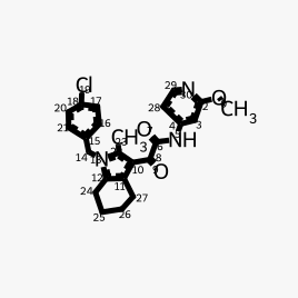 COc1cc(NC(=O)C(=O)c2c3c(n(Cc4ccc(Cl)cc4)c2C)CCCC3)ccn1